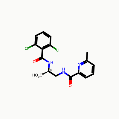 Cc1cccc(C(=O)NC[C@H](NC(=O)c2c(Cl)cccc2Cl)C(=O)O)n1